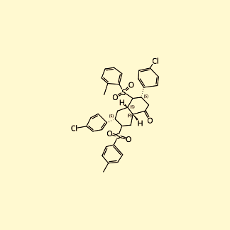 Cc1ccc(S(=O)(=O)C2C[C@H]3C(=O)C[C@@H](c4ccc(Cl)cc4)C(S(=O)(=O)c4ccccc4C)[C@H]3C[C@H]2c2ccc(Cl)cc2)cc1